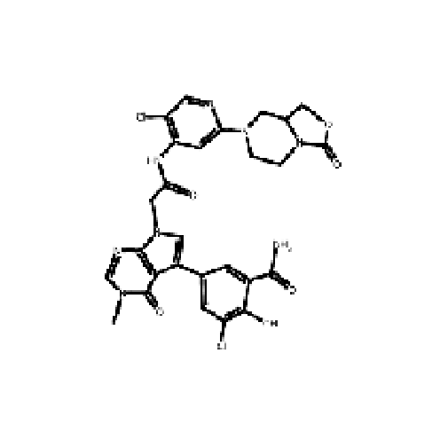 Cn1cnc2c(c(-c3cc(Cl)c(O)c(C(N)=O)c3)cn2CC(=O)Nc2cc(N3CCN4C(=O)OCC4C3)ncc2Cl)c1=O